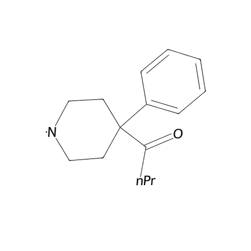 CCCC(=O)C1(c2ccccc2)CC[N]CC1